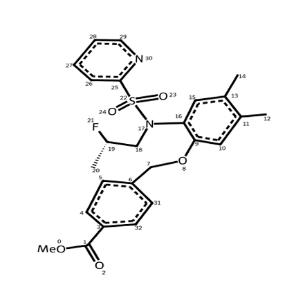 COC(=O)c1ccc(COc2cc(C)c(C)cc2N(C[C@H](C)F)S(=O)(=O)c2ccccn2)cc1